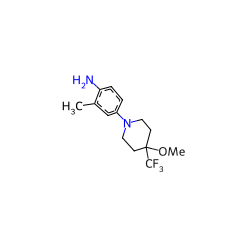 COC1(C(F)(F)F)CCN(c2ccc(N)c(C)c2)CC1